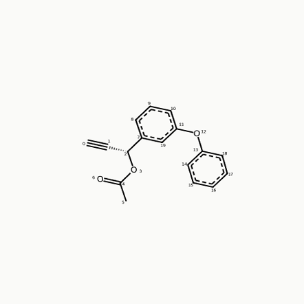 C#C[C@@H](OC(C)=O)c1cccc(Oc2ccccc2)c1